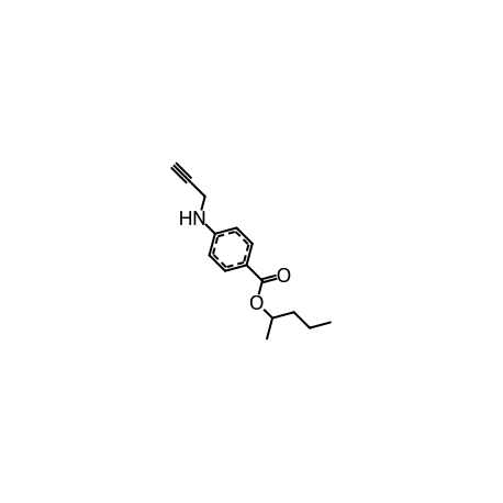 C#CCNc1ccc(C(=O)OC(C)CCC)cc1